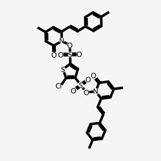 Cc1ccc(C=Cc2cc(C)cc(=O)n2OS(=O)(=O)c2cc(S(=O)(=O)On3c(C=Cc4ccc(C)cc4)cc(C)cc3=O)c(Cl)s2)cc1